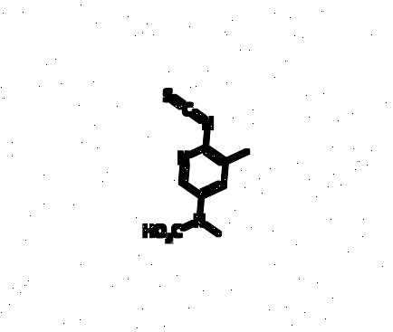 Cc1cc(N(C)C(=O)O)cnc1N=C=S